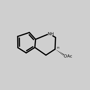 CC(=O)O[C@H]1CNc2ccccc2C1